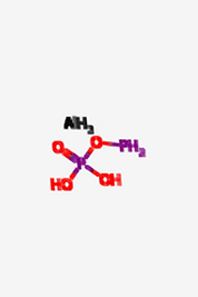 O=P(O)(O)OP.[AlH3]